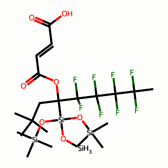 CC(C)(C)CC(OC(=O)/C=C/C(=O)O)(C(F)(F)C(F)(F)C(F)(F)C(C)(F)F)[Si](O[SiH3])(O[Si](C)(C)C)O[Si](C)(C)C